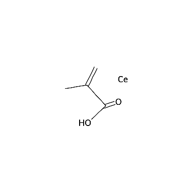 C=C(C)C(=O)O.[Ce]